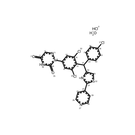 Cl.O.O=c1cnn(-c2cc(Cl)c(C(c3ccc(Cl)cc3)c3csc(-c4ccncc4)n3)c(Cl)c2)c(=O)[nH]1